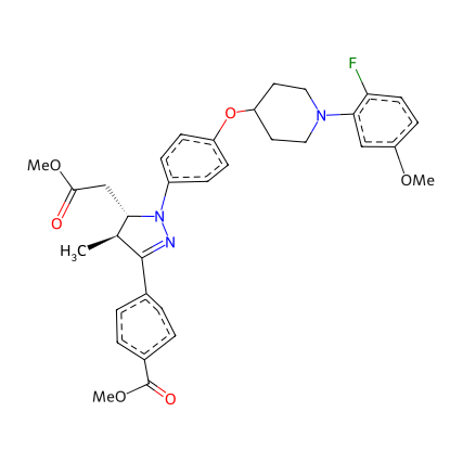 COC(=O)C[C@H]1[C@H](C)C(c2ccc(C(=O)OC)cc2)=NN1c1ccc(OC2CCN(c3cc(OC)ccc3F)CC2)cc1